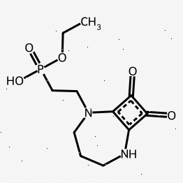 CCOP(=O)(O)CCN1CCCNc2c1c(=O)c2=O